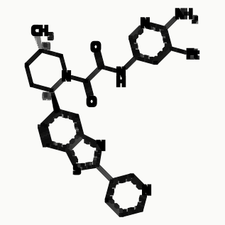 CCc1cc(NC(=O)C(=O)N2C[C@@H](C)CC[C@@H]2c2c#cc3sc(-c4cccnc4)nc3c2)cnc1N